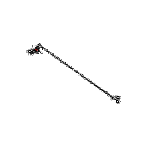 CCCC1O[C@@H]2C[C@H]3[C@@H]4CCC5=CC(=O)C=C[C@]5(C)[C@H]4[C@@H](O)C[C@]3(C)[C@]2(C(=O)COP(=O)(O)OP(=O)(O)OCCOCCOCCOCCOCCOCCOCCOCCOCCOCCOCCOCCOCCOCCOCCOCCOCCOCCOCCOCCOCCOCCOCCOCCNC(=O)OCC2c3ccccc3-c3ccccc32)O1